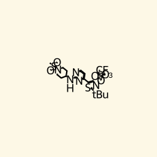 CC(C)(C)c1nc(OS(=O)(=O)C(F)(F)F)c(-c2ccnc(NC3CCN(S(C)(=O)=O)CC3)n2)s1